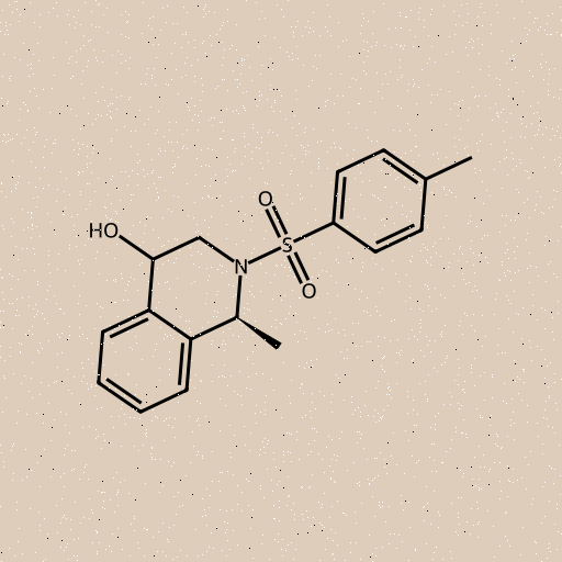 Cc1ccc(S(=O)(=O)N2CC(O)c3ccccc3[C@@H]2C)cc1